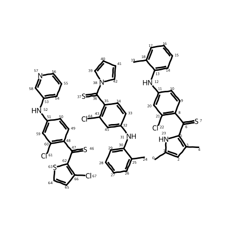 Cc1cc(C)c(C(=S)c2ccc(Nc3ccccc3C)cc2Cl)[nH]1.Cc1ccccc1Nc1ccc(C(=S)n2cccc2)c(Cl)c1.S=C(c1ccc(Nc2cccnc2)cc1Cl)c1sccc1Cl